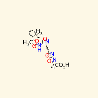 Cc1ccccc1C(C)OC(=O)Nc1conc1C#Cc1nc2nc(C3(C(=O)O)CC3)oc2o1